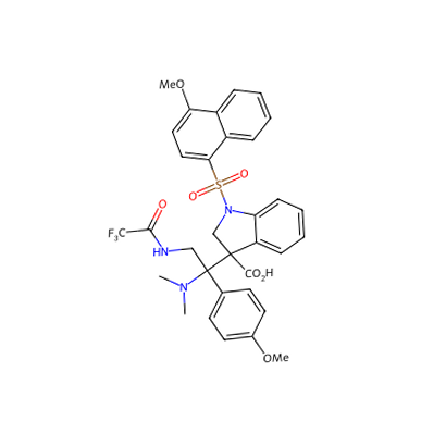 COc1ccc(C(CNC(=O)C(F)(F)F)(N(C)C)C2(C(=O)O)CN(S(=O)(=O)c3ccc(OC)c4ccccc34)c3ccccc32)cc1